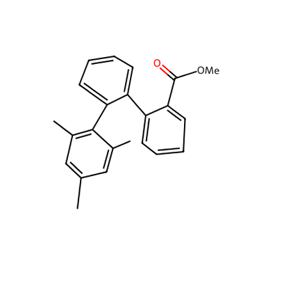 COC(=O)c1ccccc1-c1ccccc1-c1c(C)cc(C)cc1C